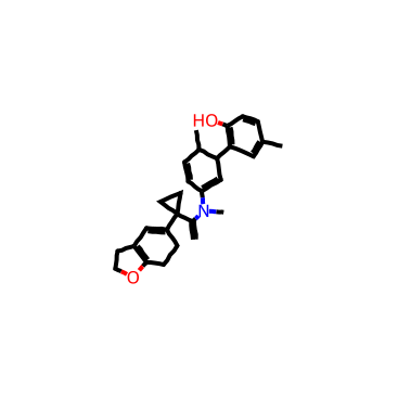 C=C(N(C)C1=CC(c2cc(C)ccc2O)C(C)C=C1)C1(C2=CC3=C(CC2)OCC3)CC1